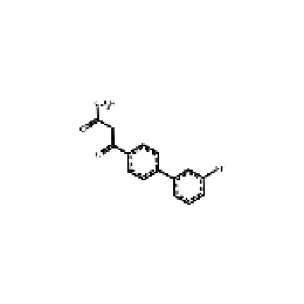 CCc1cccc(-c2ccc(C(=O)CC(=O)C(=O)O)cc2)c1